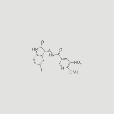 COc1ncc(C(=O)N/N=C2/C(=O)Nc3ccc(I)cc32)cc1[N+](=O)[O-]